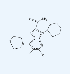 NC(=O)c1nc2c(N3CCOCC3)c(F)c(Cl)nc2n1C1CCCCO1